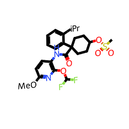 COc1ccc(NC(=O)C2(c3ccccc3C(C)C)CCC(OS(C)(=O)=O)CC2)c(OC(F)F)n1